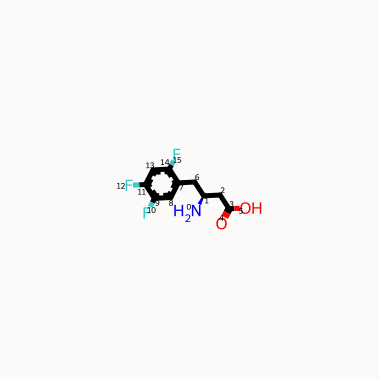 N[C@H](CC(=O)O)Cc1cc(F)c(F)cc1F